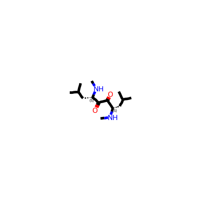 CN[C@@H](CC(C)C)C(=O)C(=O)[C@H](CC(C)C)NC